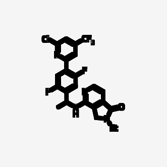 CCN1Cc2c(ccnc2NC(C)c2cc(F)c(-c3cc(C(F)(F)F)cc(Cl)n3)cc2F)C1=O